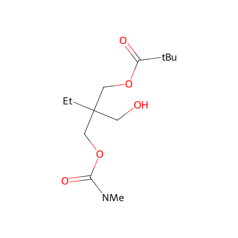 CCC(CO)(COC(=O)NC)COC(=O)C(C)(C)C